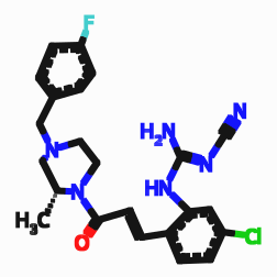 C[C@@H]1CN(Cc2ccc(F)cc2)CCN1C(=O)C=Cc1ccc(Cl)cc1NC(N)=NC#N